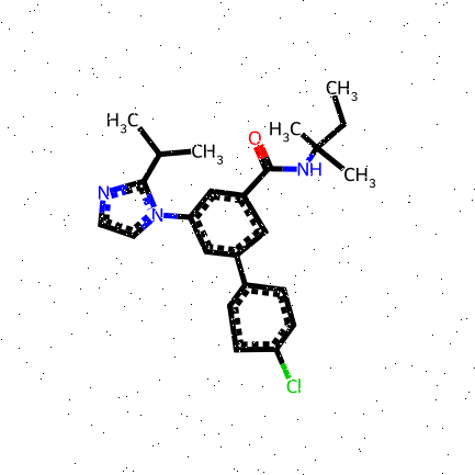 CCC(C)(C)NC(=O)c1cc(-c2ccc(Cl)cc2)cc(-n2ccnc2C(C)C)c1